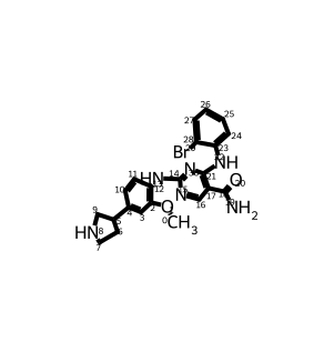 COc1cc(C2CCNC2)ccc1Nc1ncc(C(N)=O)c(Nc2ccccc2Br)n1